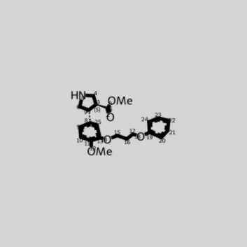 COC(=O)[C@@H]1CNC[C@H]1c1ccc(OC)c(OCCCOc2ccccc2)c1